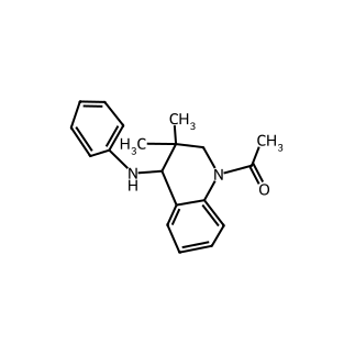 CC(=O)N1CC(C)(C)C(Nc2ccccc2)c2ccccc21